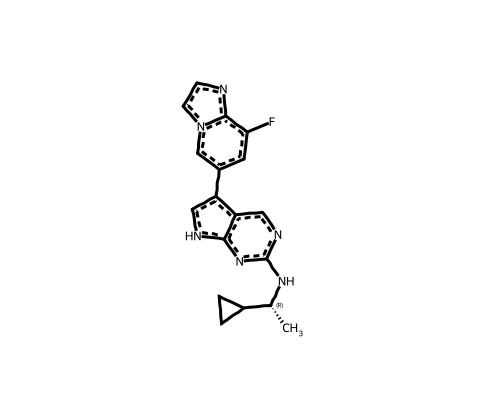 C[C@@H](Nc1ncc2c(-c3cc(F)c4nccn4c3)c[nH]c2n1)C1CC1